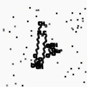 CCCCCCCCCCCCOC(=O)CS(=O)(=O)O.CCCCCCCCCCC[CH2][Na].O=C([O-])CS(=O)(=O)O.[Na+]